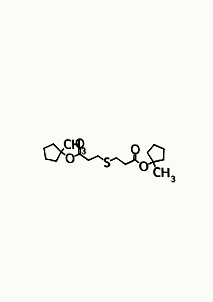 CC1(OC(=O)CCSCCC(=O)OC2(C)CCCC2)CCCC1